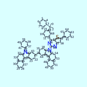 CC1(C)c2ccccc2-c2ccc(-c3nc(-n4c5ccc(-c6ccc7c8c9ccccc9ccc8n(-c8ccccc8)c7c6)cc5c5c6ccccc6ccc54)nc4cc(-c5ccccc5)sc34)cc21